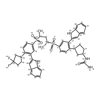 CC(CN(C)S(=O)(=O)c1ccc(N2CCC(NC(N)=O)C2)c(-c2cc3ccccc3[nH]2)c1)S(=O)(=O)c1ccc(N2CCC(F)(F)C2)c(-c2cc3ncccc3[nH]2)c1